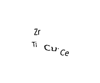 [Ce].[Cu].[Ti].[Zr]